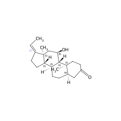 C/C=C1/CC[C@H]2[C@@H]3CC[C@@H]4CC(=O)CC[C@]4(C)[C@H]3[C@H](O)C[C@]12C